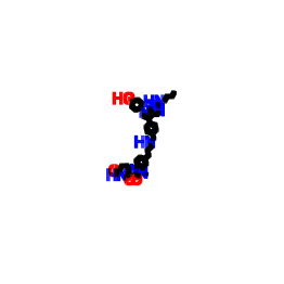 CCCCNc1ncc2c(-c3ccc(CNCCCc4ccc5c(c4)n(C)c(=O)n5[C@H]4CCC(=O)NC4=O)cc3)cn([C@H]3CC[C@H](O)CC3)c2n1